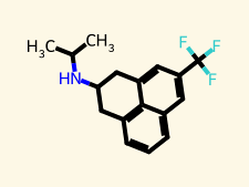 CC(C)NC1Cc2cccc3cc(C(F)(F)F)cc(c23)C1